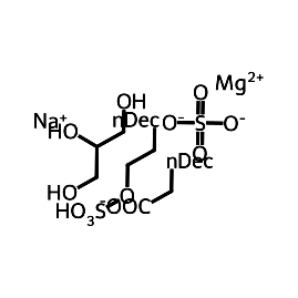 CCCCCCCCCCCC(=O)[O-].CCCCCCCCCCCCOS(=O)(=O)O.O=S(=O)([O-])[O-].OCC(O)CO.[Mg+2].[Na+]